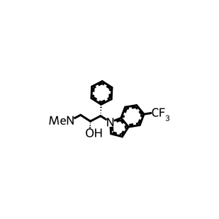 CNC[C@@H](O)[C@H](c1ccccc1)n1ccc2cc(C(F)(F)F)ccc21